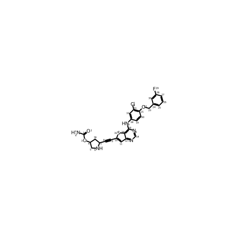 NC(=O)OC1CNC(C#Cc2cc3ncnc(Nc4ccc(OCc5cccc(F)c5)c(Cl)c4)c3s2)C1